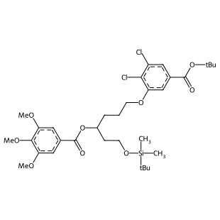 COc1cc(C(=O)OC(CCCOc2cc(C(=O)OC(C)(C)C)cc(Cl)c2Cl)CCO[Si](C)(C)C(C)(C)C)cc(OC)c1OC